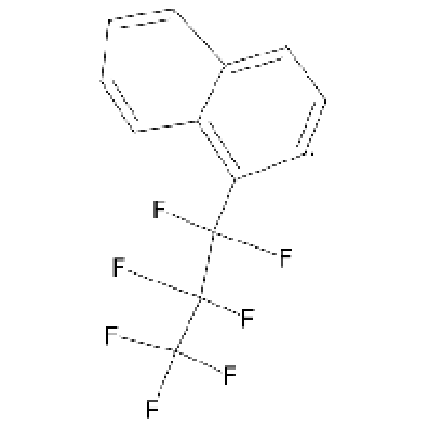 FC(F)(F)C(F)(F)C(F)(F)c1[c]ccc2ccccc12